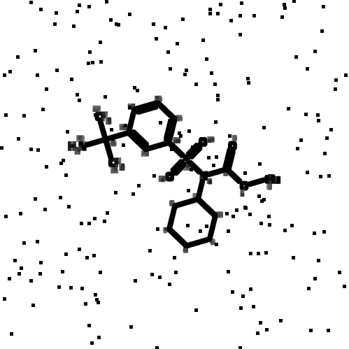 CC(C)(C)OC(=O)N(C1CCCCC1)S(=O)(=O)c1cccc(C(N)(C(F)(F)F)C(F)(F)F)c1